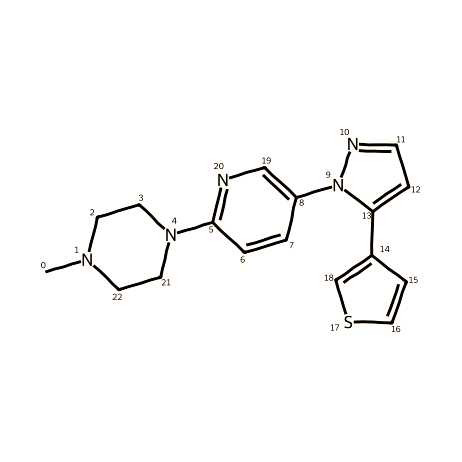 CN1CCN(c2ccc(-n3nccc3-c3ccsc3)cn2)CC1